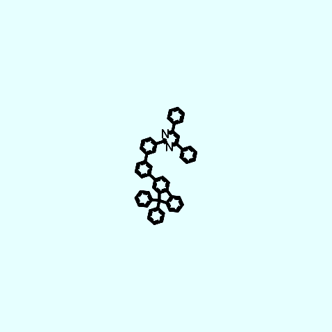 c1ccc(-c2cc(-c3ccccc3)nc(-c3cccc(-c4cccc(-c5ccc6c(c5)C(c5ccccc5)(c5ccccc5)c5ccccc5-6)c4)c3)n2)cc1